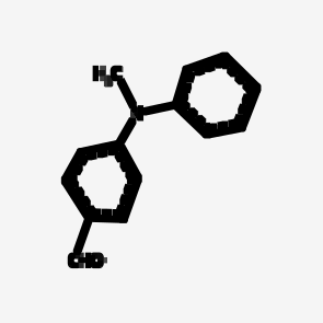 CN(c1ccccc1)c1ccc([C]=O)cc1